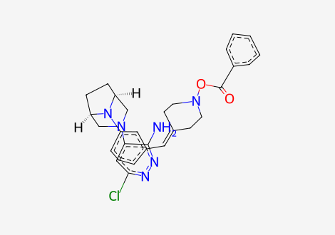 Nc1nnc(Cl)cc1N1C[C@H]2CC[C@@H](C1)N2c1cccc(C=C2CCN(OC(=O)c3ccccc3)CC2)c1